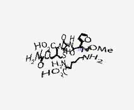 CO/N=C(/C(=O)N[C@@H]1C(=O)N2C(C(=O)O)=C(COC(N)=O)CS[C@H]12)c1ccco1.NCCCC[C@H](N)C(=O)O